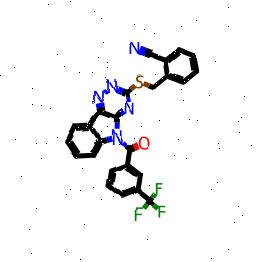 N#Cc1ccccc1CSc1nnc2c3ccccc3n(C(=O)c3cccc(C(F)(F)F)c3)c2n1